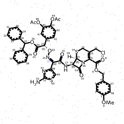 COc1ccc(COC(=O)C2=C(CCl)CS[C@@H]3[C@H](NC(=O)/C(=N\O[C@H](C(=O)OC(c4ccccc4)c4ccccc4)c4ccc(OC(C)=O)c(OC(C)=O)c4)c4csc(N)n4)C(=O)N23)cc1